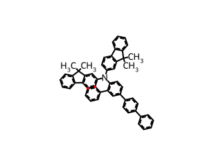 CC1(C)c2ccccc2-c2ccc(N(c3ccc4c(c3)C(C)(C)c3ccccc3-4)c3ccc(-c4ccc(-c5ccccc5)cc4)cc3-c3ccccc3)cc21